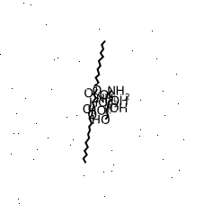 CCCCCCCCCCCCOC(=O)CCC(N)C(=O)OCCCCCCCCCCCC.NC(=O)[C@H](O)[C@@H](O)[C@H](O)[C@H](O)CO